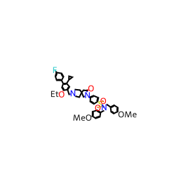 CCOc1cc(-c2ccc(F)cc2)c(C2CC2)cc1CN1CCC2(CC1)CC(=O)N(c1ccc(S(=O)(=O)N(Cc3ccc(OC)cc3)Cc3ccc(OC)cc3)cc1)C2